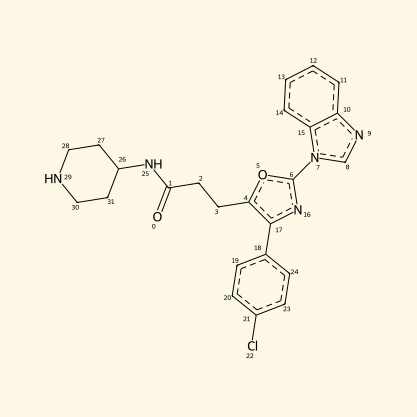 O=C(CCc1oc(-n2cnc3ccccc32)nc1-c1ccc(Cl)cc1)NC1CCNCC1